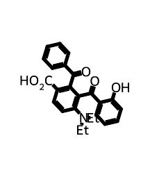 CCN(CC)c1ccc(C(=O)O)c(C(=O)c2ccccc2)c1C(=O)c1ccccc1O